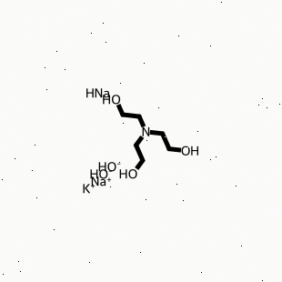 OCCN(CCO)CCO.[K+].[Na+].[NaH].[OH-].[OH-]